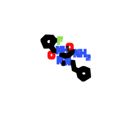 NC(=O)c1c(NC(=O)c2ccccc2F)ncn1CCc1ccccc1